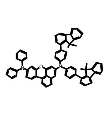 CC1(C)c2ccccc2-c2cccc(-c3ccc(N(c4ccc(-c5cccc6c5C(C)(C)c5ccccc5-6)cc4)c4cc5c6c(cccc6c4)-c4ccc(N(c6ccccc6)c6ccccc6)cc4O5)cc3)c21